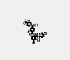 C#Cc1ccc(NC(=O)c2ccc(C(=N)N3CCC(C(=O)O)CC3)cc2F)c(C(=O)Nc2ccc(Cl)cn2)c1